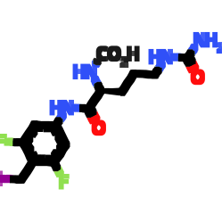 NC(=O)NCCC[C@H](NC(=O)O)C(=O)Nc1cc(F)c(CI)c(F)c1